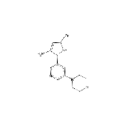 CC(C)C1C=C(N)N(c2cncc(N3CCOCC3)c2)N1